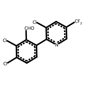 O=Cc1c(-c2ncc(C(F)(F)F)cc2Cl)ccc(Cl)c1Cl